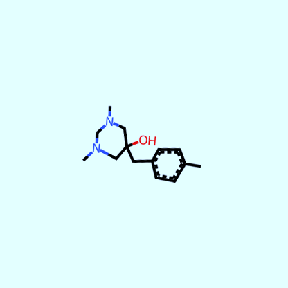 Cc1ccc(CC2(O)CN(C)CN(C)C2)cc1